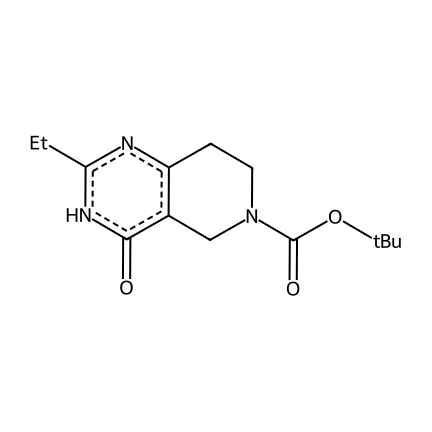 CCc1nc2c(c(=O)[nH]1)CN(C(=O)OC(C)(C)C)CC2